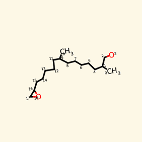 CC(C[O])CCCCCC(C)CCCCCC1CO1